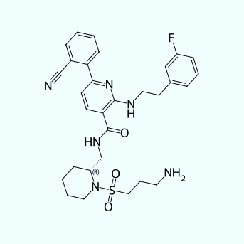 N#Cc1ccccc1-c1ccc(C(=O)NC[C@H]2CCCCN2S(=O)(=O)CCCN)c(NCCc2cccc(F)c2)n1